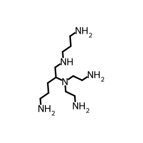 NCCCNCC(CCCN)N(CCN)CCN